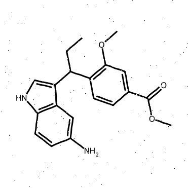 CCC(c1ccc(C(=O)OC)cc1OC)c1c[nH]c2ccc(N)cc12